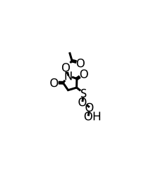 CC(=O)ON1C(=O)CC(SOOO)C1=O